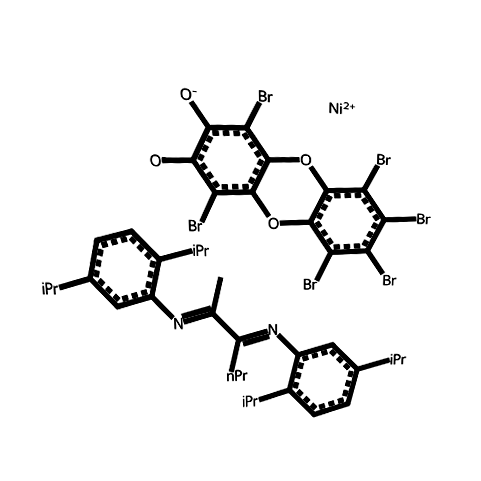 CCCC(=Nc1cc(C(C)C)ccc1C(C)C)C(C)=Nc1cc(C(C)C)ccc1C(C)C.[Ni+2].[O-]c1c([O-])c(Br)c2c(c1Br)Oc1c(Br)c(Br)c(Br)c(Br)c1O2